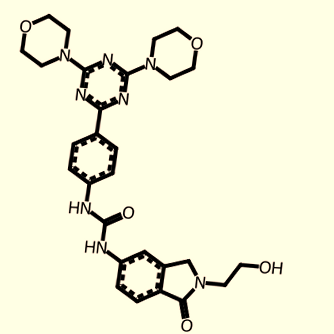 O=C(Nc1ccc(-c2nc(N3CCOCC3)nc(N3CCOCC3)n2)cc1)Nc1ccc2c(c1)CN(CCO)C2=O